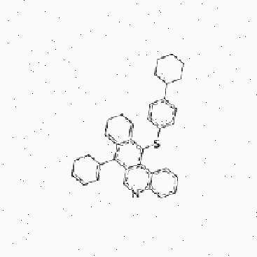 C1=CCCC(c2c3c(c(Sc4ccc(C5CCCCC5)cc4)c4c2cnc2ccccc24)=CCCC=3)=C1